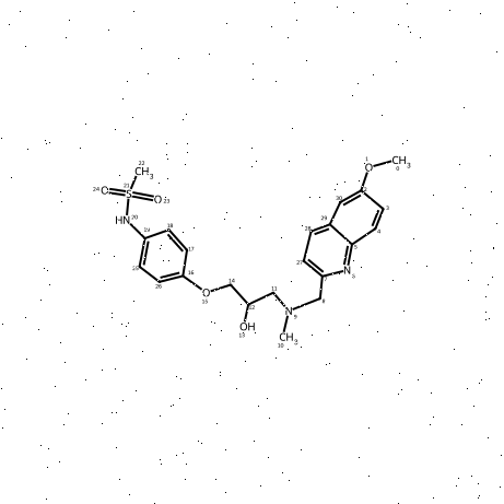 COc1ccc2nc(CN(C)CC(O)COc3ccc(NS(C)(=O)=O)cc3)ccc2c1